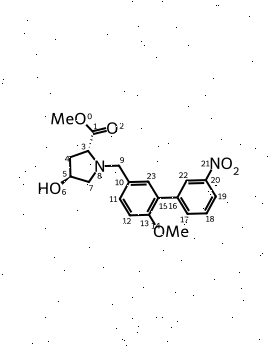 COC(=O)[C@H]1C[C@H](O)CN1Cc1ccc(OC)c(-c2cccc([N+](=O)[O-])c2)c1